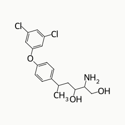 CC(CC(O)C(N)CO)c1ccc(Oc2cc(Cl)cc(Cl)c2)cc1